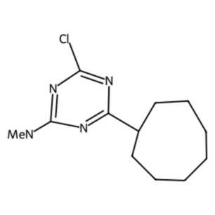 CNc1nc(Cl)nc(C2CCCCCCC2)n1